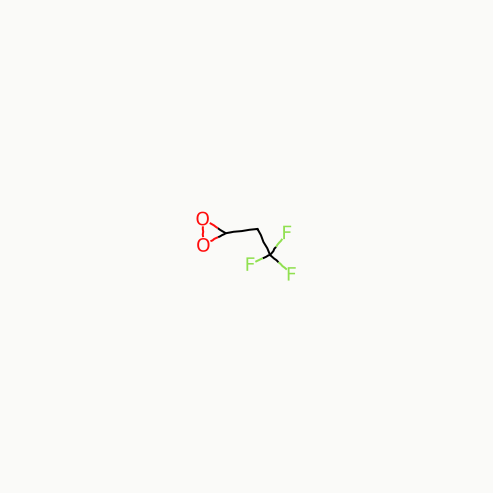 FC(F)(F)CC1OO1